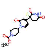 CC(C)(C)OC(=O)N1CCC(n2ccc(C3(F)CCC(=O)NC3=O)cc2=O)CC1